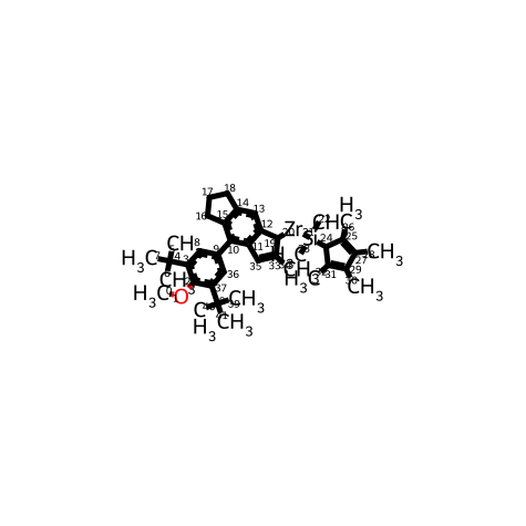 COc1c(C(C)(C)C)cc(-c2c3c(cc4c2CCC4)[CH]([Zr][Si](C)(C)C2C(C)=C(C)C(C)=C2C)C(C)=C3)cc1C(C)(C)C